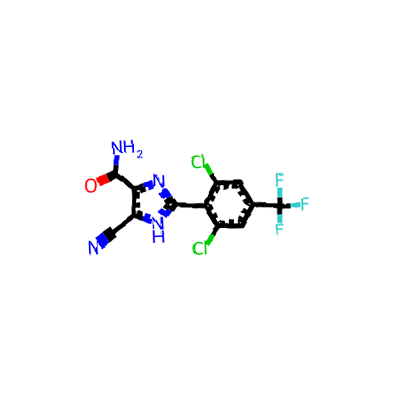 N#Cc1[nH]c(-c2c(Cl)cc(C(F)(F)F)cc2Cl)nc1C(N)=O